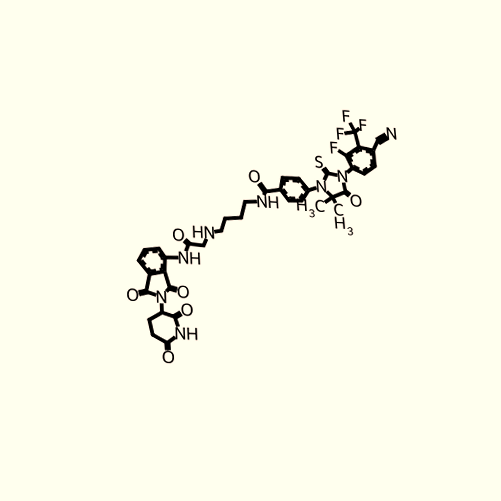 CC1(C)C(=O)N(c2ccc(C#N)c(C(F)(F)F)c2F)C(=S)N1c1ccc(C(=O)NCCCCNCC(=O)Nc2cccc3c2C(=O)N(C2CCC(=O)NC2=O)C3=O)cc1